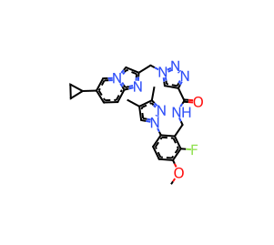 COc1ccc(-n2cc(C)c(C)n2)c(CNC(=O)c2cn(Cc3cn4cc(C5CC5)ccc4n3)nn2)c1F